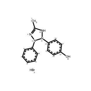 Br.CC1=NN(c2ccccc2)N(c2ccc(O)cc2)N1